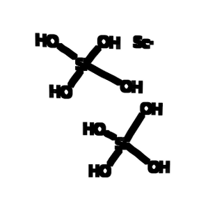 O[Si](O)(O)O.O[Si](O)(O)O.[Sc]